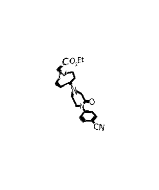 CCOC(=O)CN1CCC(N2CCN(c3ccc(C#N)cc3)C(=O)C2)CC1